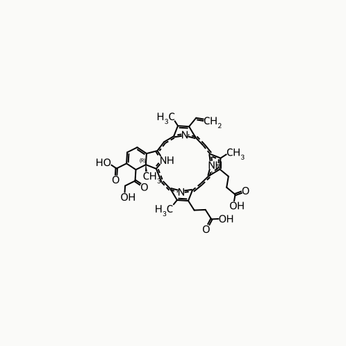 C=CC1=C(C)c2cc3[nH]c(cc4nc(cc5[nH]c(cc1n2)c(C)c5CCC(=O)O)C(CCC(=O)O)=C4C)[C@@]1(C)C3=CC=C(C(=O)O)C1C(=O)CO